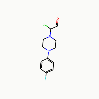 O=CC(Cl)N1CCN(c2ccc(F)cc2)CC1